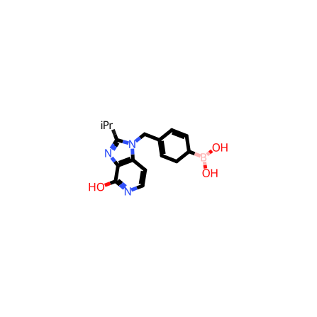 CC(C)c1nc2c(O)nccc2n1CC1=CCC(B(O)O)C=C1